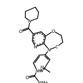 CNC(=O)N/C=C\C(=C/C(C)=N)N1CCCOc2cc(C(=O)N3CCCCC3)cnc21